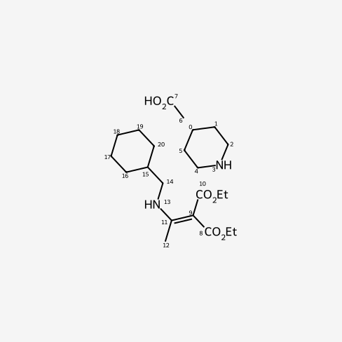 C1CCNCC1.CC(=O)O.CCOC(=O)C(C(=O)OCC)=C(C)NCC1CCCCC1